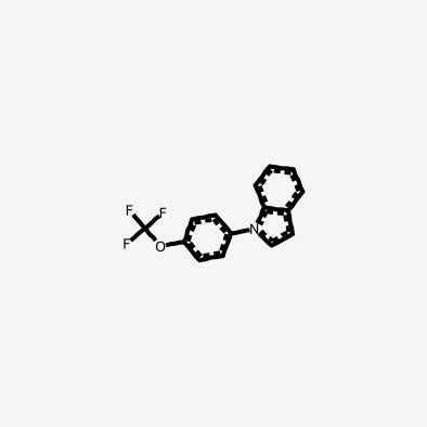 FC(F)(F)Oc1ccc(-n2ccc3ccccc32)cc1